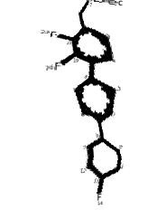 CCCCCCCCCCCc1ccc(-c2ccc(C3CCC(F)CC3)cc2)c(F)c1F